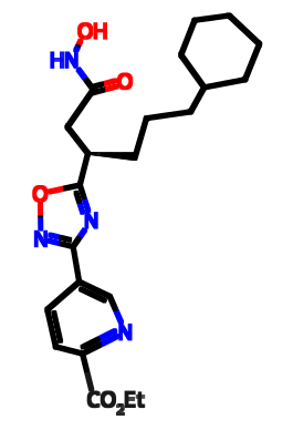 CCOC(=O)c1ccc(-c2noc([C@H](CCCC3CCCCC3)CC(=O)NO)n2)cn1